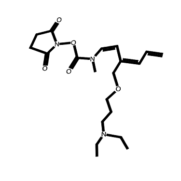 C=C/C=C(\C=C/N(C)C(=O)ON1C(=O)CCC1=O)COCCCN(CC)CC